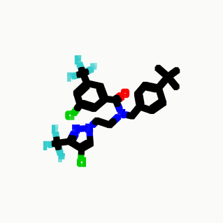 CC(C)(C)c1ccc(CN(CCn2cc(Cl)c(C(F)(F)F)n2)C(=O)c2cc(Cl)cc(C(F)(F)F)c2)cc1